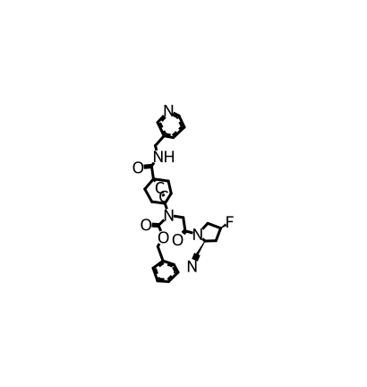 N#C[C@@H]1C[C@H](F)CN1C(=O)CN(C(=O)OCc1ccccc1)C12CCC(C(=O)NCc3cccnc3)(CC1)CC2